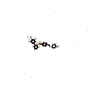 CC[C@H]1CC[C@H](CCc2ccc(C(F)(F)Oc3ccccc3-c3cc(F)c(C(F)(F)F)c(F)c3)cc2)CC1